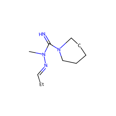 CC/C=N/N(C)C(=N)N1CCCCC1